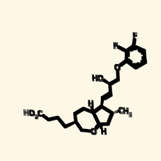 C[C@@H]1C[C@@H]2OC[C@@H](CCCC(=O)O)CC[C@@H]2[C@H]1/C=C/[C@@H](O)COc1cccc(F)c1F